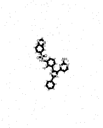 Nc1nccc(-c2sc(-c3ccccc3)nc2-c2cccc(NS(=O)(=O)c3ccc4ocnc4c3)c2F)n1